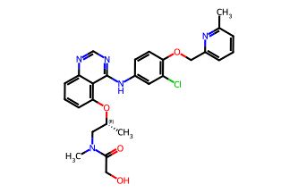 Cc1cccc(COc2ccc(Nc3ncnc4cccc(O[C@H](C)CN(C)C(=O)CO)c34)cc2Cl)n1